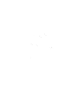 CSc1c(F)nn(C)c1-n1cc(Br)cn1